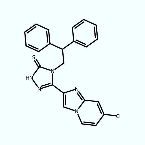 S=c1[nH]nc(-c2cn3ccc(Cl)cc3n2)n1CC(c1ccccc1)c1ccccc1